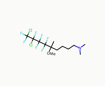 COC(C)(CCCCN(C)C)C(F)(F)C(F)(F)C(F)(Cl)C(F)(F)Cl